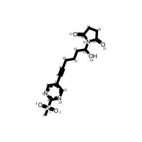 CS(=O)(=O)c1ncc(C#CCCCC(O)N2C(=O)CCC2=O)cn1